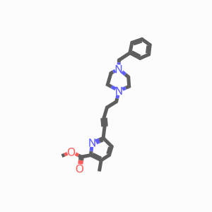 COC(=O)c1nc(C#CCCN2CCN(Cc3ccccc3)CC2)ccc1C